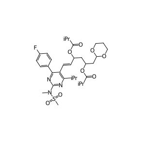 CC(C)C(=O)OC(/C=C/c1c(-c2ccc(F)cc2)nc(N(C)S(C)(=O)=O)nc1C(C)C)CC(CC1OCCCO1)OC(=O)C(C)C